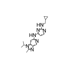 Cc1nc2cnc(Nc3ccnc(NCC4CC4)n3)cc2n1C(C)C